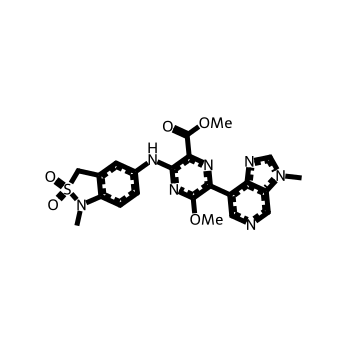 COC(=O)c1nc(-c2cncc3c2ncn3C)c(OC)nc1Nc1ccc2c(c1)CS(=O)(=O)N2C